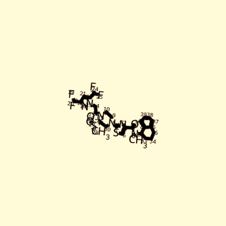 CN(C(=O)c1csc(N2CCN(C(=O)Cn3nc(C(F)F)cc3C(F)F)C([S+](C)[O-])C2)n1)C1CCCc2ccccc21